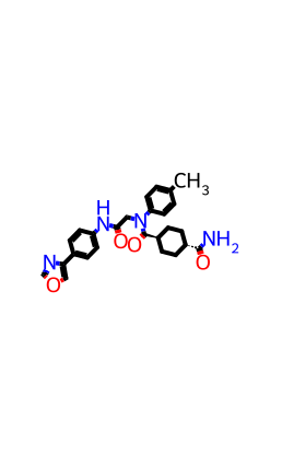 Cc1ccc(N(CC(=O)Nc2ccc(-c3cocn3)cc2)C(=O)[C@H]2CC[C@H](C(N)=O)CC2)cc1